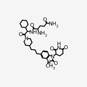 Cn1c(=O)n(C2CCC(=O)NC2=O)c2ccc(CCCC3CCN(C(=O)C(NC(=O)C(N)CCC(N)=O)C4CCCCC4)CC3)cc21